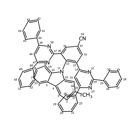 Cc1ccc2c3ccccc3n(-c3c(-c4cc(-c5ccccc5)nc(-c5ccccc5)n4)cc(C#N)cc3-c3nc(-c4ccccc4)cc(-c4ccccc4)n3)c2c1